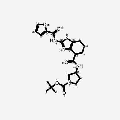 CC(C)(C)OC(=O)N1CCC(NC(=O)C2CCCc3sc(NC(=O)c4ccco4)nc32)C1